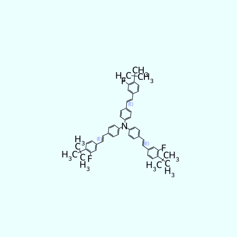 CC(C)(C)c1ccc(/C=C/c2ccc(N(c3ccc(/C=C/c4ccc(C(C)(C)C)c(F)c4)cc3)c3ccc(/C=C/c4ccc(C(C)(C)C)c(F)c4)cc3)cc2)cc1F